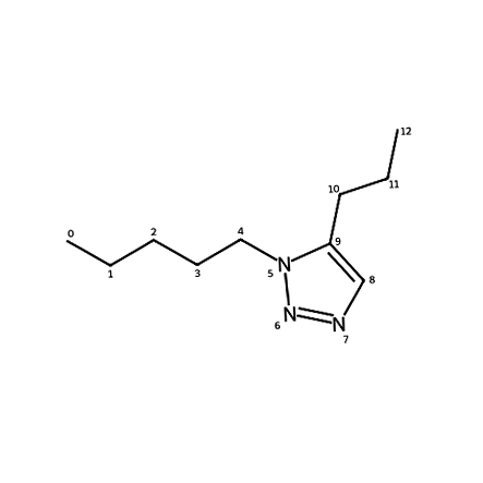 CCCCCn1nncc1CCC